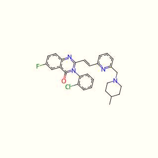 CC1CCN(Cc2cccc(/C=C/c3nc4ccc(F)cc4c(=O)n3-c3ccccc3Cl)n2)CC1